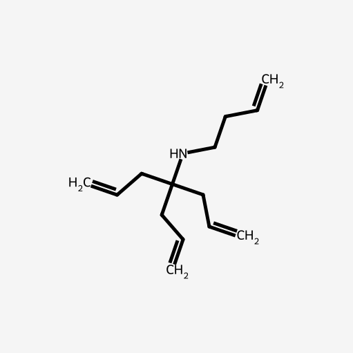 C=CCCNC(CC=C)(CC=C)CC=C